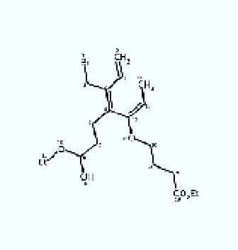 C=C/C(CBr)=C(CCC(O)OCC)\C(=C/C)OCCCC(=O)OCC